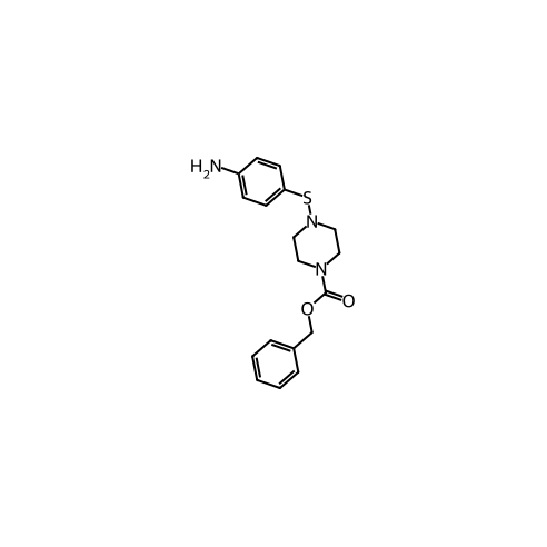 Nc1ccc(SN2CCN(C(=O)OCc3ccccc3)CC2)cc1